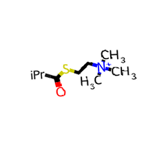 CC(C)C(=O)SCC[N+](C)(C)C